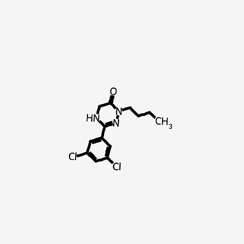 CCCCN1N=C(c2cc(Cl)cc(Cl)c2)NCC1=O